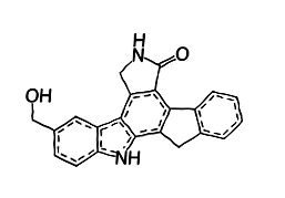 O=C1NCc2c1c1c(c3[nH]c4ccc(CO)cc4c23)Cc2ccccc2-1